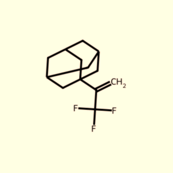 C=C(C(F)(F)F)C12CC3CC(CC(C3)C1)C2